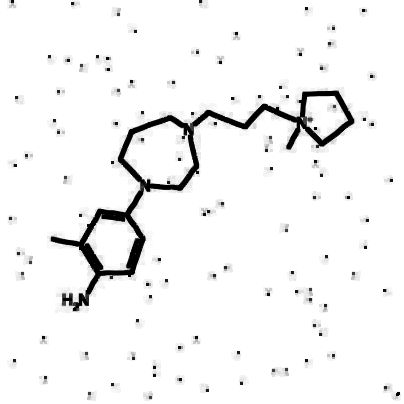 Cc1cc(N2CCCN(CCC[N+]3(C)CCCC3)CC2)ccc1N